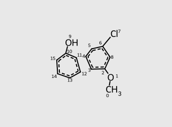 COc1cccc(Cl)c1.Oc1ccccc1